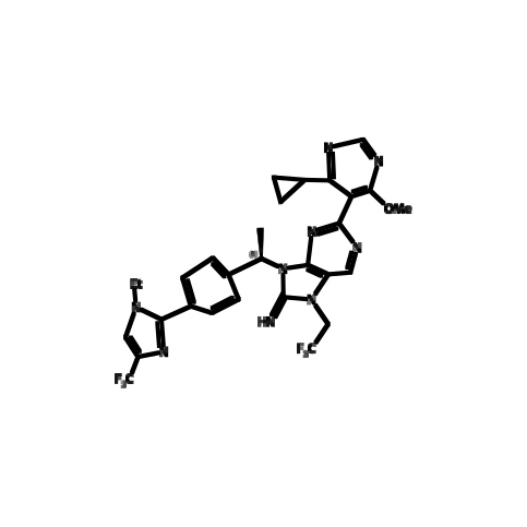 CCn1cc(C(F)(F)F)nc1-c1ccc([C@@H](C)n2c(=N)n(CC(F)(F)F)c3cnc(-c4c(OC)ncnc4C4CC4)nc32)cc1